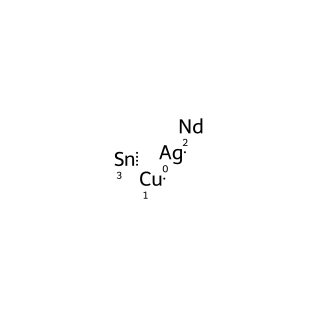 [Ag].[Cu].[Nd].[Sn]